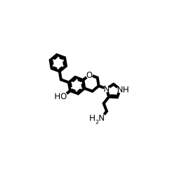 NCCC1=CNCN1C1COc2cc(Cc3ccccc3)c(O)cc2C1